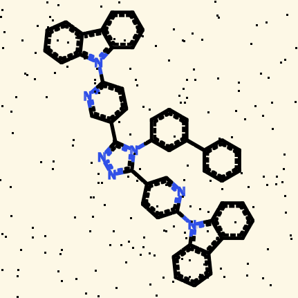 c1ccc(-c2cccc(-n3c(-c4ccc(-n5c6ccccc6c6ccccc65)nc4)nnc3-c3ccc(-n4c5ccccc5c5ccccc54)nc3)c2)cc1